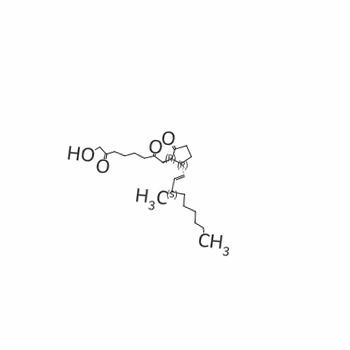 CCCCCC[C@H](C)C=C[C@H]1CCC(=O)[C@@H]1CC(=O)CCCCC(=O)CO